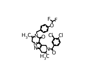 C[C@@H]1Cc2nn3c(c2CN1C(=O)c1ccc(Cl)c(Cl)c1)C(=O)N(Cc1ccc(OC(F)F)cc1)[C@H](C)C3